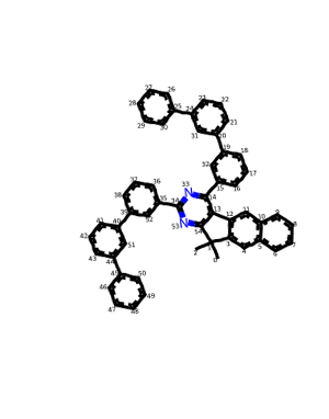 CC1(C)c2cc3ccccc3cc2-c2c(-c3cccc(-c4cccc(-c5ccccc5)c4)c3)nc(-c3cccc(-c4cccc(-c5ccccc5)c4)c3)nc21